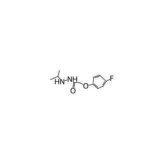 CC(C)NNC(=O)COc1ccc(F)cc1